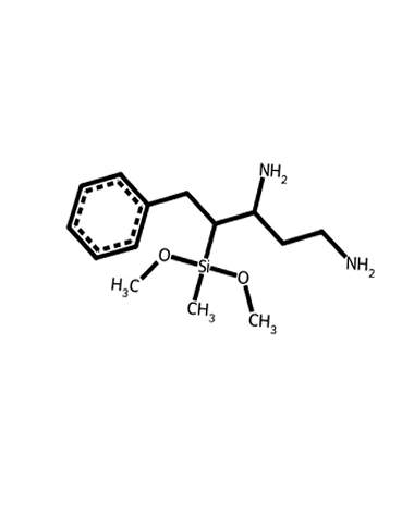 CO[Si](C)(OC)C(Cc1ccccc1)C(N)CCN